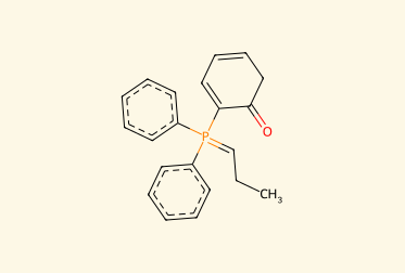 CCC=P(C1=CC=CCC1=O)(c1ccccc1)c1ccccc1